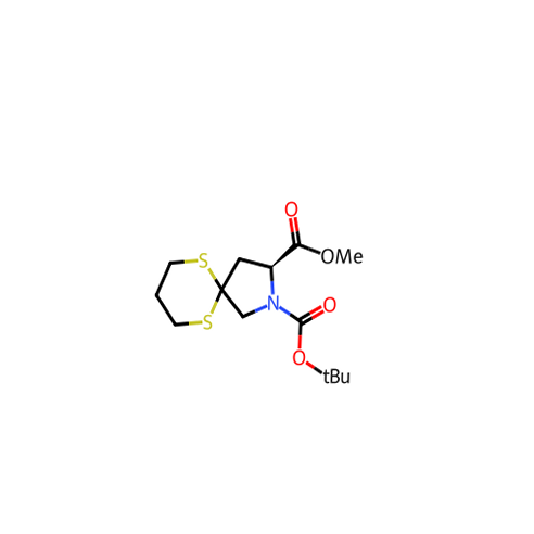 COC(=O)[C@@H]1CC2(CN1C(=O)OC(C)(C)C)SCCCS2